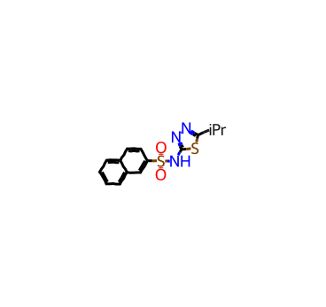 CC(C)c1nnc(NS(=O)(=O)c2ccc3ccccc3c2)s1